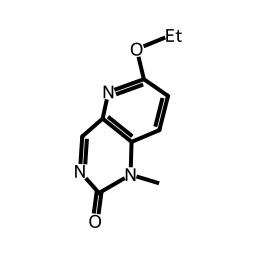 CCOc1ccc2c(cnc(=O)n2C)n1